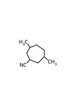 CC1CCC(C)CC(C#N)C1